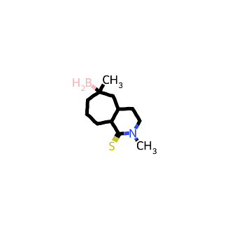 BC1(C)CCCC2C(=S)N(C)CCC2C1